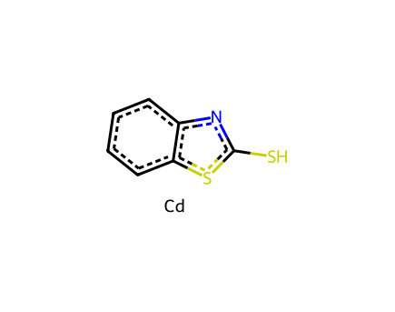 Sc1nc2ccccc2s1.[Cd]